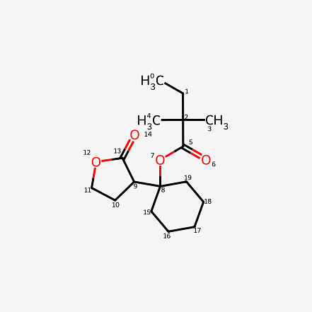 CCC(C)(C)C(=O)OC1(C2CCOC2=O)CCCCC1